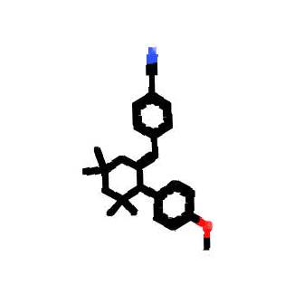 COc1ccc(C2C(=Cc3ccc(C#N)cc3)CC(C)(C)CC2(C)C)cc1